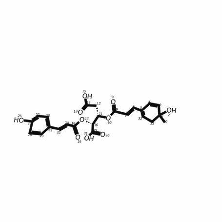 CC1(O)C=CC(/C=C/C(=O)O[C@@H](CC(=O)O)[C@@H](OC(=O)/C=C/c2ccc(O)cc2)C(=O)O)=CC1